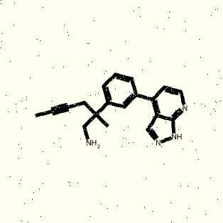 CC#CCC(C)(CN)c1cccc(-c2ccnc3[nH]ncc23)c1